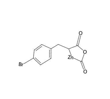 O=[C]1OC(=O)[CH](Cc2ccc(Br)cc2)[Zn]1